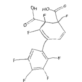 O=C(O)C1(F)C=CC(c2cc(F)c(F)c(F)c2F)=C(F)C1(F)C(=O)O